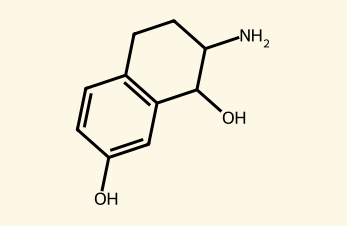 NC1CCc2ccc(O)cc2C1O